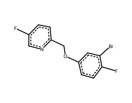 Fc1ccc(COc2ccc(F)c(Br)c2)nc1